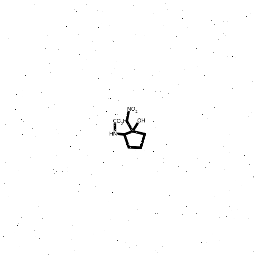 O=C(O)NC1CCCC1(O)C[N+](=O)[O-]